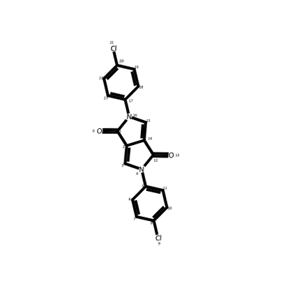 O=C1C2=CN(c3ccc(Cl)cc3)C(=O)C2=CN1c1ccc(Cl)cc1